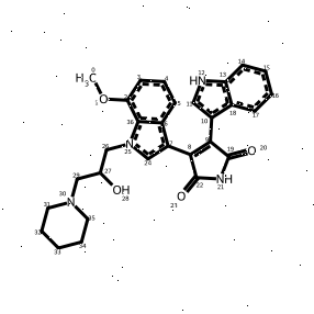 COc1cccc2c(C3=C(c4c[nH]c5ccccc45)C(=O)NC3=O)cn(CC(O)CN3CCCCC3)c12